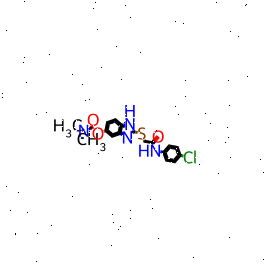 CN(C)C(=O)Oc1ccc2[nH]c(SCC(=O)Nc3ccc(Cl)cc3)nc2c1